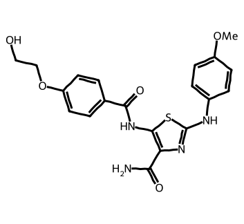 COc1ccc(Nc2nc(C(N)=O)c(NC(=O)c3ccc(OCCO)cc3)s2)cc1